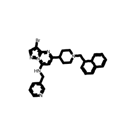 Brc1cnn2c(NCc3cccnc3)cc(C3CCN(CC4C=CC=C5C=CC=CC54)CC3)nc12